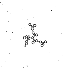 CC(C)(C)c1ccc2cc(-c3nc(-c4cc(-n5c6ccccc6c6cc(-c7ccc8c(c7)c7ccccc7n8-c7ccccc7)ccc65)cc(-n5c6ccccc6c6cc(-c7ccc8c(c7)c7ccccc7n8-c7ccccc7)ccc65)c4)nc4ccc5ccccc5c34)ccc2c1